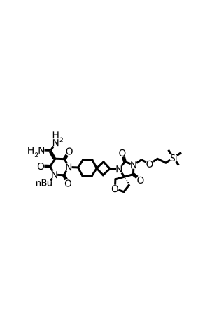 CCCCN1C(=O)C(=C(N)N)C(=O)N(C2CCC3(CC2)CC(N2C(=O)N(COCC[Si](C)(C)C)C(=O)[C@]24CCOC4)C3)C1=O